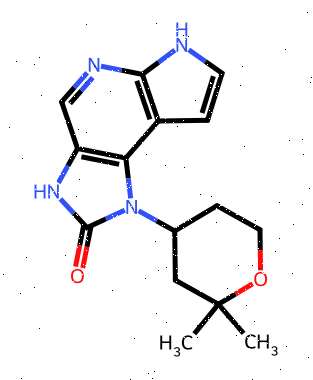 CC1(C)CC(n2c(=O)[nH]c3cnc4[nH]ccc4c32)CCO1